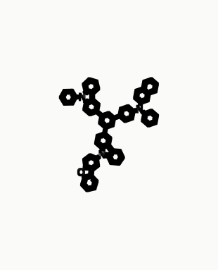 c1ccc(N(c2ccc(-c3cc(-c4ccc5c(c4)c4ccccc4n5-c4ccccc4)cc(-c4ccc5c(c4)c4ccccc4n5-c4ccc5oc6ccccc6c5c4)c3)cc2)c2ccc3ccccc3c2)cc1